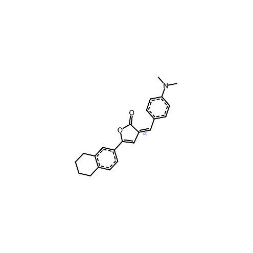 CN(C)c1ccc(/C=C2/C=C(c3ccc4c(c3)CCCC4)OC2=O)cc1